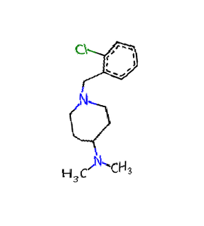 CN(C)C1CCN(Cc2ccccc2Cl)CC1